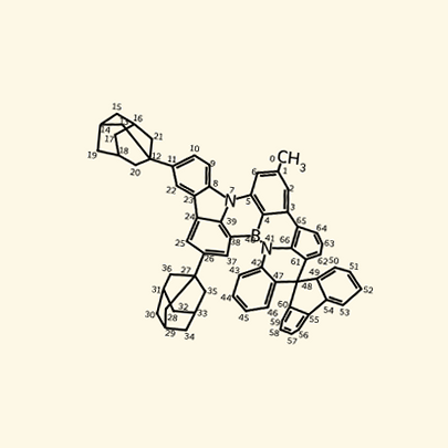 Cc1cc2c3c(c1)-n1c4ccc(C56CC7CC(CC(C7)C5)C6)cc4c4cc(C56CC7CC(CC(C7)C5)C6)cc(c41)B3N1c3ccccc3C3(c4ccccc4-c4ccccc43)c3cccc-2c31